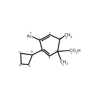 CC(=O)C1=CC(C)C(C)(C(=O)O)C=C1C1CCC1